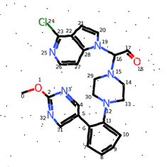 COc1ncc(-c2ccccc2N2CCN(C(C=O)n3ccc4c(Cl)nccc43)CC2)cn1